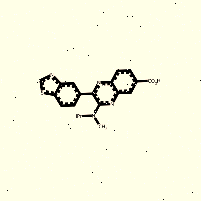 CC(C)N(C)c1nc2cc(C(=O)O)ccc2nc1-c1ccc2scnc2c1